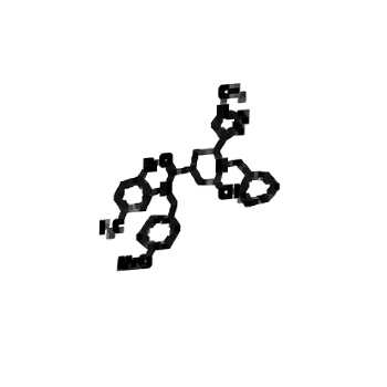 COc1ccc(CN(C(=O)C2CC(C)N(Cc3ccccc3)C(c3cn(C)nn3)C2)c2cc(C(F)(F)F)ccc2Br)cc1